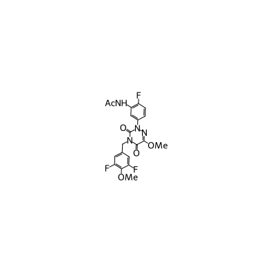 COc1c(F)cc(Cn2c(=O)c(OC)nn(-c3ccc(F)c(NC(C)=O)c3)c2=O)cc1F